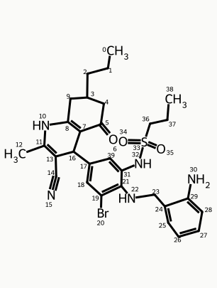 CCCC1CC(=O)C2=C(C1)NC(C)=C(C#N)C2c1cc(Br)c(NCc2ccccc2N)c(NS(=O)(=O)CCC)c1